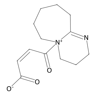 O=C([O-])/C=C\C(=O)[N+]12CCCCCC1=NCCC2